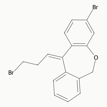 BrCC/C=C1\c2ccccc2COc2cc(Br)ccc21